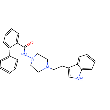 O=C(NN1CCN(CCc2c[nH]c3ccccc23)CC1)c1ccccc1-c1ccccc1